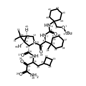 CC(C)(C)OCC1(NC(=O)N[C@H](C(=O)N2C[C@H]3[C@@H]([C@H]2C(=O)NC(CC2CCC2)C(=O)C(N)=O)C3(C)C)C2(C)CCCCC2)CCCCC1